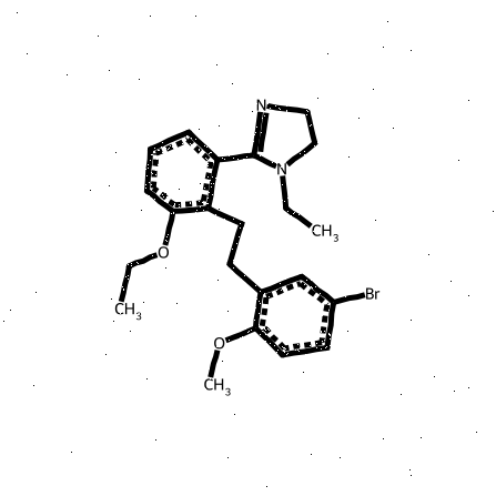 CCOc1cccc(C2=NCCN2CC)c1CCc1cc(Br)ccc1OC